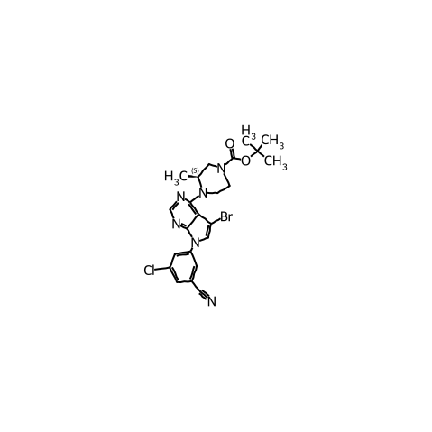 C[C@H]1CN(C(=O)OC(C)(C)C)CCN1c1ncnc2c1c(Br)cn2-c1cc(Cl)cc(C#N)c1